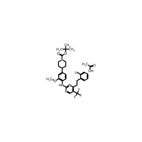 CC(=O)O.[Li][c]1ccccc1CCc1nc(Nc2ccc(C3CCN(C(=O)OC(C)(C)C)CC3)cc2OC)ncc1C(F)(F)F